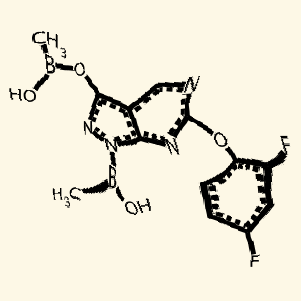 CB(O)Oc1nn(B(C)O)c2nc(Oc3ccc(F)cc3F)ncc12